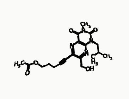 CC(=O)OCCCC#Cc1nc2c(=O)n(C)c(=O)n(CC(C)C)c2nc1CO